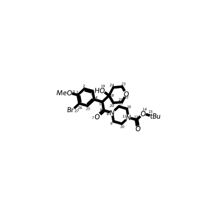 COc1ccc(C(C(=O)N2CCN(C(=O)OC(C)(C)C)CC2)C2(O)CCOCC2)cc1Br